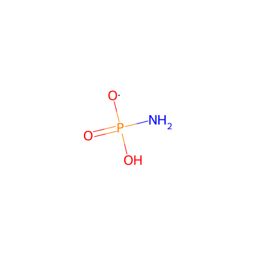 NP([O])(=O)O